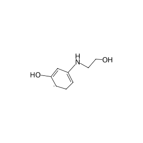 OCCNC1=CC[CH]C(O)=C1